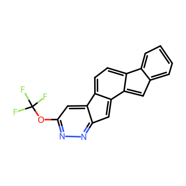 FC(F)(F)Oc1cc2c(nn1)C=c1c-2ccc2c1=Cc1ccccc1-2